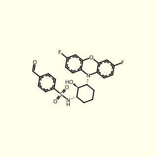 O=Cc1ccc(S(=O)(=O)N[C@H]2CCC[C@@H](N3c4ccc(F)cc4Oc4cc(F)ccc43)[C@@H]2O)cc1